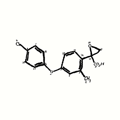 Cc1cc(Oc2ccc(Cl)cc2)ccc1C1(C(=O)O)CO1